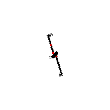 CC(C)OC(=O)CCCCCCCCCCCCCCCCOc1c2ccccc2c(OCCCCCCCCCCCCCCCCC(=O)OC(C)C)c2cc(Cl)ccc12